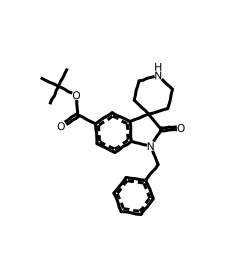 CC(C)(C)OC(=O)c1ccc2c(c1)C1(CCNCC1)C(=O)N2Cc1ccccc1